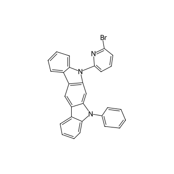 Brc1cccc(-n2c3ccccc3c3cc4c5ccccc5n(-c5ccccc5)c4cc32)n1